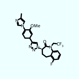 COC1=CC(c2cn([C@@H]3CCc4c(F)cccc4N(CC(F)(F)F)C3=O)nn2)CC=C1n1cnc(C)c1